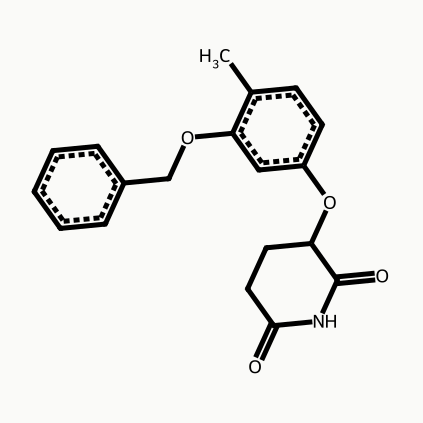 Cc1ccc(OC2CCC(=O)NC2=O)cc1OCc1ccccc1